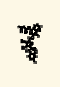 CNCC(=O)OCc1cccnc1N(C)C(=O)OCn1nc(C(=O)Nc2ccc(C)cc2Cl)c(Br)c1Br